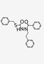 O=C(NN(CCc1ccccc1)C(=O)c1ccccc1)SCc1ccccc1